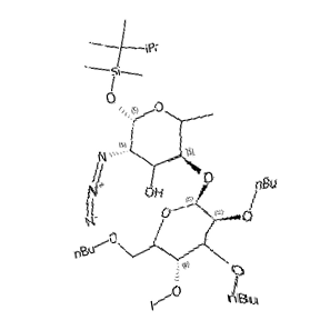 CCCCOCC1O[C@@H](O[C@@H]2C(C)O[C@@H](O[Si](C)(C)C(C)(C)C(C)C)[C@@H](N=[N+]=[N-])C2O)[C@@H](OCCCC)C(OCCCC)[C@@H]1OI